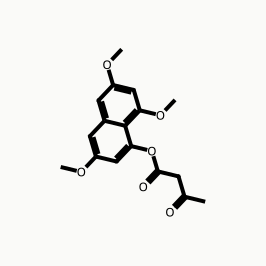 COc1cc(OC)c2c(OC(=O)CC(C)=O)cc(OC)cc2c1